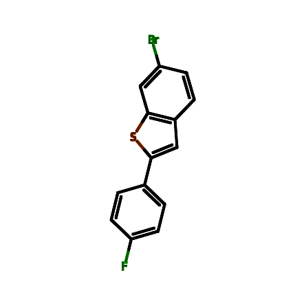 Fc1ccc(-c2cc3ccc(Br)cc3s2)cc1